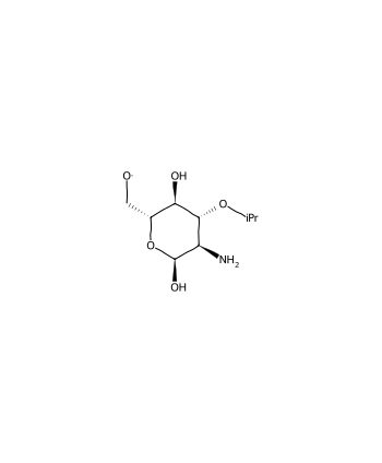 CC(C)O[C@@H]1[C@@H](N)[C@@H](O)O[C@H](C[O])[C@H]1O